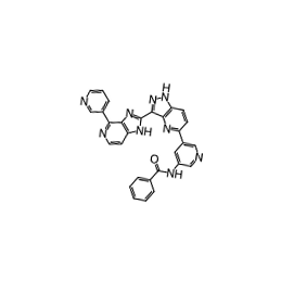 O=C(Nc1cncc(-c2ccc3[nH]nc(-c4nc5c(-c6cccnc6)nccc5[nH]4)c3n2)c1)c1ccccc1